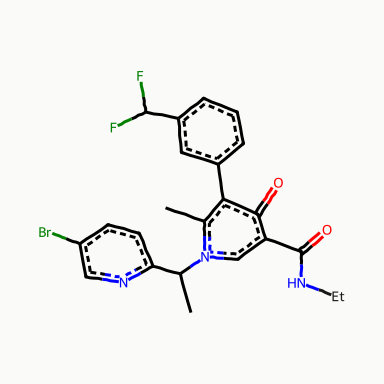 CCNC(=O)c1cn(C(C)c2ccc(Br)cn2)c(C)c(-c2cccc(C(F)F)c2)c1=O